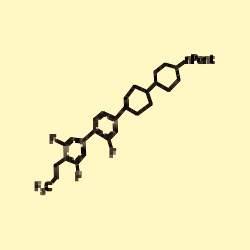 CCCCCC1CCC(C2CC=C(c3ccc(-c4cc(F)c(/C=C/C(F)(F)F)c(F)c4)c(F)c3)CC2)CC1